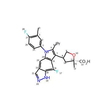 Cc1cc(-n2c(C(C)C)c(C3CO[C@](C)(C(=O)O)C3)c3c(F)c4[nH]ncc4cc32)ccc1F